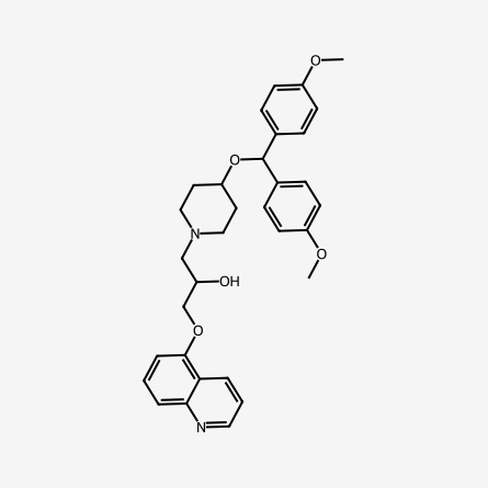 COc1ccc(C(OC2CCN(CC(O)COc3cccc4ncccc34)CC2)c2ccc(OC)cc2)cc1